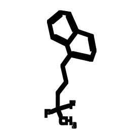 CC(F)(F)CCCc1cccc2ccccc12